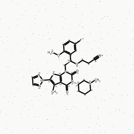 COc1ccc(F)cc1[C@H](Cn1c(=O)n([C@H]2CCCN(C)C2)c(=O)c2c(C)c(-n3nccn3)sc21)OCCC#N